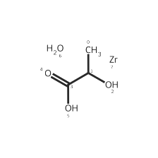 CC(O)C(=O)O.O.[Zr]